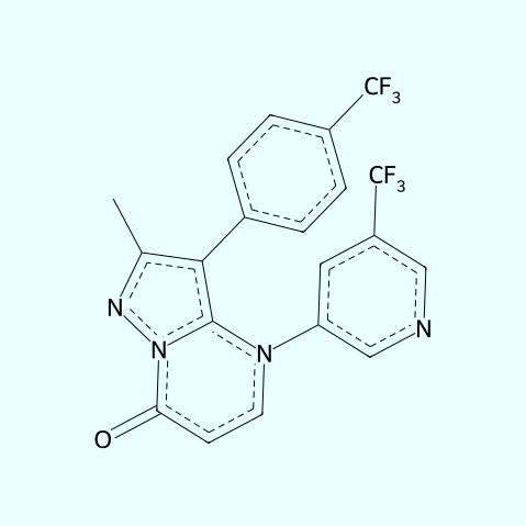 Cc1nn2c(=O)ccn(-c3cncc(C(F)(F)F)c3)c2c1-c1ccc(C(F)(F)F)cc1